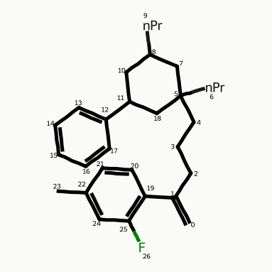 C=C(CCCC1(CCC)CC(CCC)CC(c2ccccc2)C1)c1ccc(C)cc1F